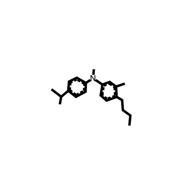 CCCCc1ccc(N(C)c2ccc(C(C)C)cc2)cc1C